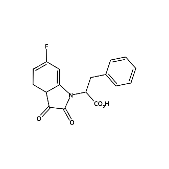 O=C1C(=O)N(C(Cc2ccccc2)C(=O)O)C2=CC(F)=CCC12